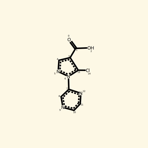 O=C(O)c1cnn(-c2cnccn2)c1Cl